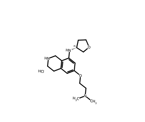 CN(C)CCOc1cc2c(c(N[C@@H]3CCOC3)c1)CNCC2.Cl